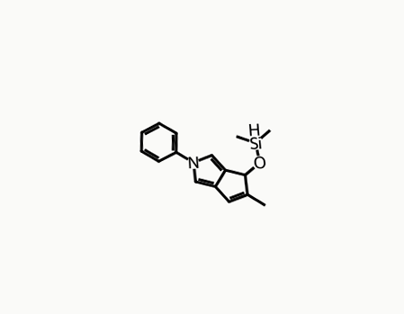 CC1=Cc2cn(-c3ccccc3)cc2C1O[SiH](C)C